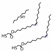 CCCCCCCC/C=C\CCCCCCCCOC(=O)CS.CCCCCCCC/C=C\CCCCCCCCOC(=O)CS.CCC[CH2][Sn][CH2]CCC